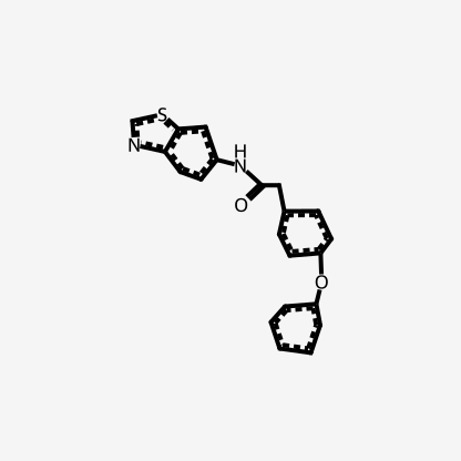 O=C(Cc1ccc(Oc2ccccc2)cc1)Nc1ccc2ncsc2c1